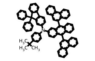 CC(C)(C)c1ccc(N(c2ccc3c(c2)C(c2ccccc2)(c2ccccc2)c2ccccc2-3)c2ccc3c(-c4cc5ccccc5c5ccccc45)c4ccccc4c(-c4cc5ccccc5c5ccccc45)c3c2)cc1